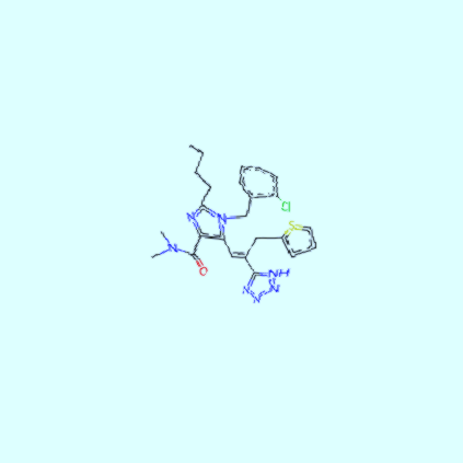 CCCCc1nc(C(=O)N(C)C)c(/C=C(\Cc2cccs2)c2nnn[nH]2)n1Cc1ccccc1Cl